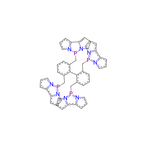 C1=C2c3cccn3P(Cc3cccc(Cp4n5cccc5c5cccn54)c3-c3c(Cp4n5cccc5c5cccn54)cccc3Cp3n4cccc4c4cccn43)N2CC1